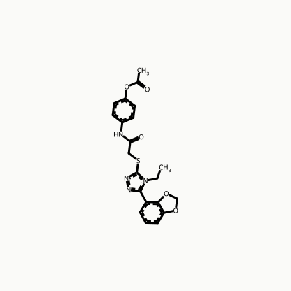 CCn1c(SCC(=O)Nc2ccc(OC(C)=O)cc2)nnc1-c1cccc2c1OCO2